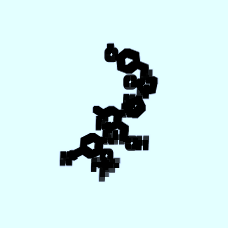 COc1ccc(CN2CCN(c3ccn(-c4cc(C)nc(Nc5ccc(C#N)cc5OC(F)(F)F)c4CCO)n3)C2=O)cc1